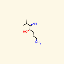 CC(C)C(=N)C(O)CCCN